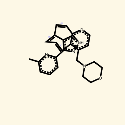 Cc1cccc(-c2n[nH]cc2C2=C\C=C\c3c(CN4CCOCC4)ccnc3/C=C\2)n1